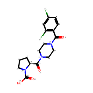 O=C(c1ccc(F)cc1F)N1CCN(C(=O)[C@@H]2CCCN2C(=O)O)CC1